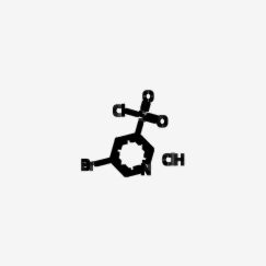 Cl.O=S(=O)(Cl)c1cncc(Br)c1